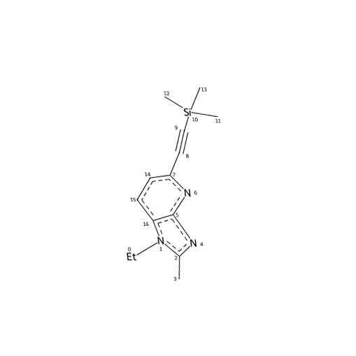 CCn1c(C)nc2nc(C#C[Si](C)(C)C)ccc21